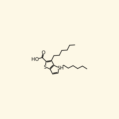 CCCCCCc1c(C(=O)O)sc2c1[SH](CCCCCC)C=C2